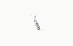 C/C=C/CCC1CSC(c2ccc(-c3ccc(OC)c(F)c3F)c(F)c2F)SC1